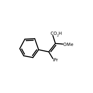 COC(C(=O)O)=C(c1ccccc1)C(C)C